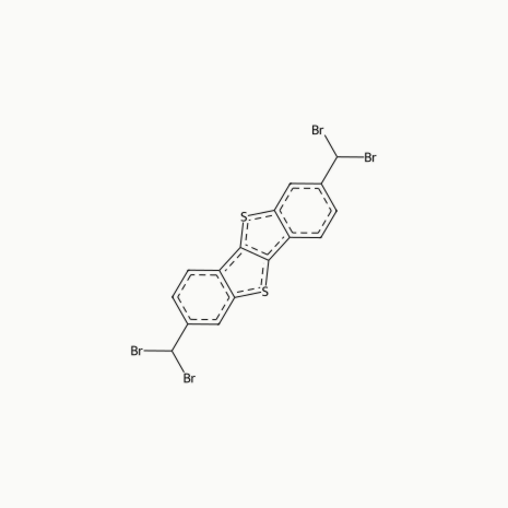 BrC(Br)c1ccc2c(c1)sc1c3ccc(C(Br)Br)cc3sc21